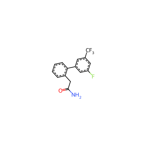 NC(=O)Cc1ccccc1-c1cc(F)cc(C(F)(F)F)c1